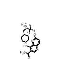 [2H]C([2H])([2H])N(C)C[C@H]1CC[C@H](Nc2c(C(C)=O)cnc3ccc(Cl)nc23)CC1